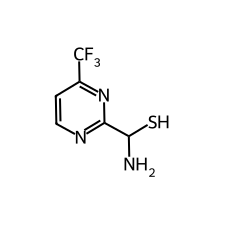 NC(S)c1nccc(C(F)(F)F)n1